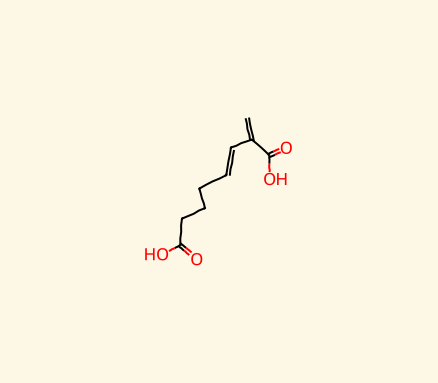 C=C(C=CCCCC(=O)O)C(=O)O